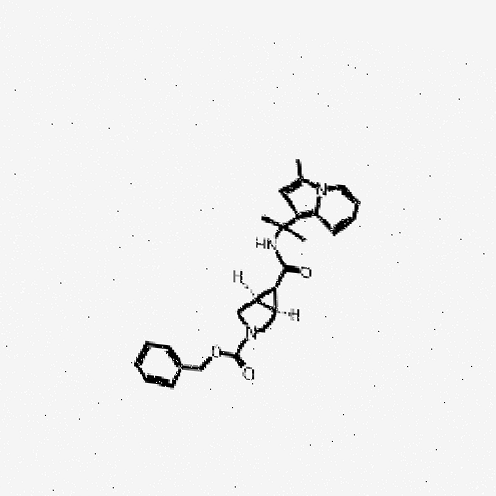 Cc1cc(C(C)(C)NC(=O)C2[C@H]3CN(C(=O)OCc4ccccc4)C[C@@H]23)c2ccccn12